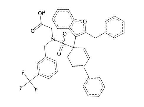 O=C(O)CN(Cc1cccc(C(F)(F)F)c1)S(=O)(=O)C1(c2c(Cc3ccccc3)oc3ccccc23)C=CC(c2ccccc2)=CC1